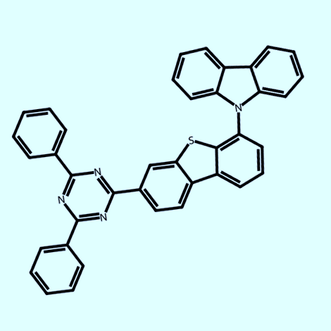 c1ccc(-c2nc(-c3ccccc3)nc(-c3ccc4c(c3)sc3c(-n5c6ccccc6c6ccccc65)cccc34)n2)cc1